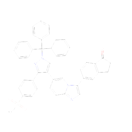 CS(=O)(=O)c1ccc(-c2nn(C(c3ccccc3)(c3ccccc3)C3C=CC=CC3)cc2-c2ccc3ncc(-c4ccc5c(c4)CCC5=O)n3c2)cc1